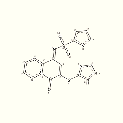 O=C1C(Sc2ncn[nH]2)=CC(=NS(=O)(=O)c2cccs2)c2ccccc21